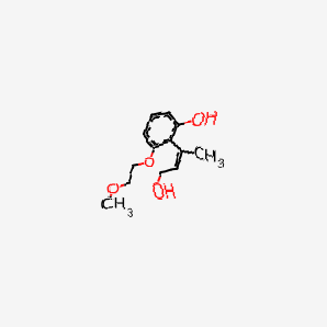 COCCOc1cccc(O)c1/C(C)=C\CO